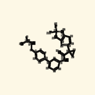 C[S+]([O-])NCc1ccc(-c2cccc(NC(=O)C3(c4ccc5c(c4)OC(F)(F)O5)CC3)c2)cc1